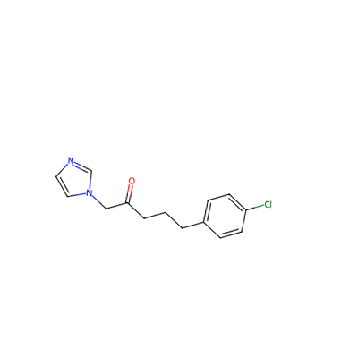 O=C(CCCc1ccc(Cl)cc1)Cn1ccnc1